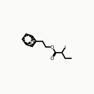 CCC(I)C(=O)OCCc1cc2ccc1o2